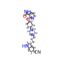 N#Cc1ccc2[nH]cc(CCCN3CCN(C4C=CC(Oc5ncccc5C(N)=O)=CC4)CC3)c2c1